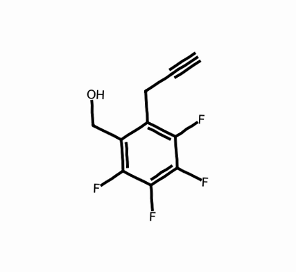 C#CCc1c(F)c(F)c(F)c(F)c1CO